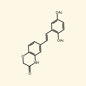 CC(=O)Oc1ccc(OC(C)=O)c(/C=C/c2ccc3c(c2)NC(=O)CO3)c1